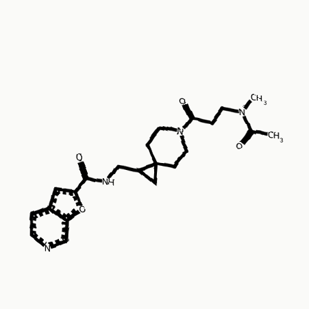 CC(=O)N(C)CCC(=O)N1CCC2(CC1)CC2CNC(=O)c1cc2ccncc2o1